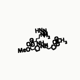 COC(Cc1ccc(NCCCc2cccc(OS(C)(=O)=O)c2)cc1)C(=O)OC(=O)[C@@H](N)CCCNC(=N)N